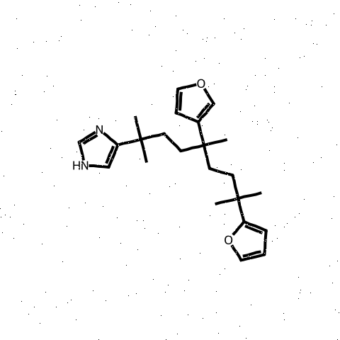 CC(C)(CCC(C)(CCC(C)(C)c1ccco1)c1ccoc1)c1c[nH]cn1